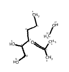 CC(C)=O.CCCCC(O)CO.CO